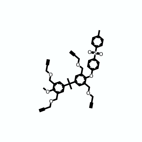 C#CCOCc1cc(C(C)(C)c2cc(COCC#C)c(Oc3ccc(S(=O)(=O)c4ccc(C)cc4)cc3)c(COCC#C)c2)cc(COCC#C)c1OC